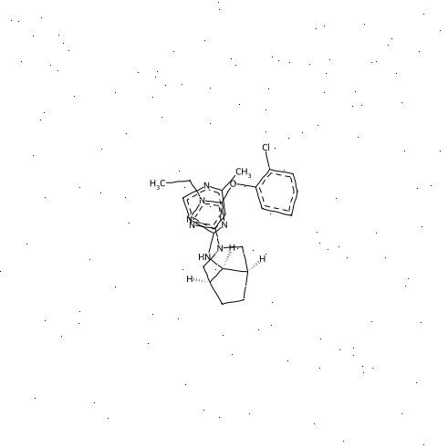 CCn1nc(N[C@H]2[C@@H]3CC[C@H]2CN(c2cc(C)ncn2)C3)nc1Oc1ccccc1Cl